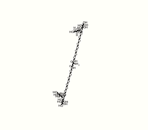 NC(CCC(=O)NCCOCCOCCOCCOCCOCCOCCOCCOCCN(C[C@H](O)[C@@H](O)[C@H](O)[C@H](O)CO)C[C@H](O)[C@@H](O)[C@H](O)[C@H](O)CO)C(=O)NCCOCCOCCOCCOCCOCCOCCOCCOCCN(C[C@H](O)[C@@H](O)[C@H](O)[C@H](O)CO)C[C@H](O)[C@@H](O)[C@H](O)[C@H](O)CO